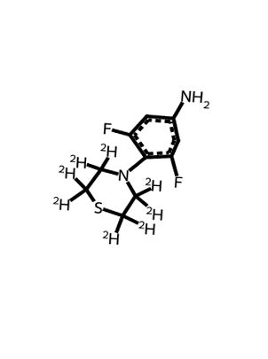 [2H]C1([2H])SC([2H])([2H])C([2H])([2H])N(c2c(F)cc(N)cc2F)C1([2H])[2H]